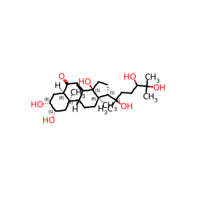 CC(C)(O)C(O)CC[C@](C)(O)[C@H]1CC[C@@]2(O)C3=CC(=O)[C@@H]4C[C@@H](O)[C@@H](O)C[C@]4(C)[C@H]3CC[C@]12C